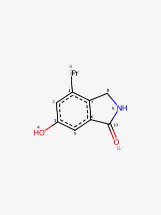 CC(C)c1cc(O)cc2c1CNC2=O